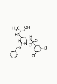 CC(CO)Nc1cc(NS(=O)(=O)c2cc(Cl)cc(Cl)c2)nc(SCc2ccccc2)n1